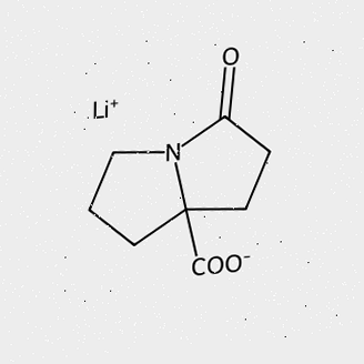 O=C1CCC2(C(=O)[O-])CCCN12.[Li+]